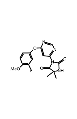 COc1ccc(Oc2cc(N3C(=O)NC(C)(C)C3=O)ncn2)cc1F